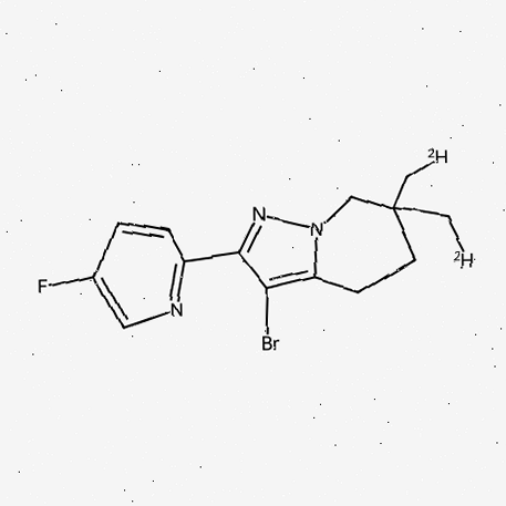 [2H]CC1(C[2H])CCc2c(Br)c(-c3ccc(F)cn3)nn2C1